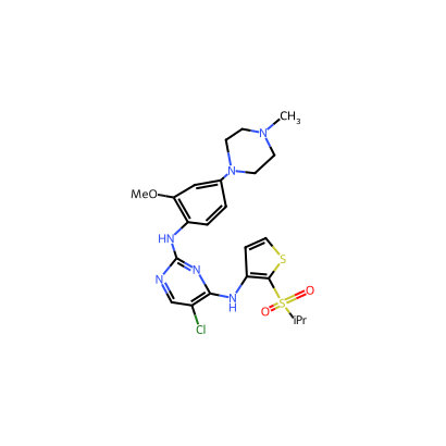 COc1cc(N2CCN(C)CC2)ccc1Nc1ncc(Cl)c(Nc2ccsc2S(=O)(=O)C(C)C)n1